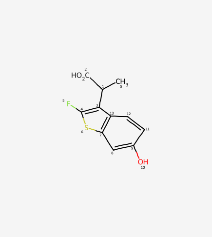 CC(C(=O)O)c1c(F)sc2cc(O)ccc12